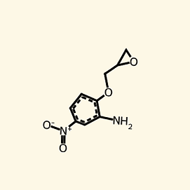 Nc1cc([N+](=O)[O-])ccc1OCC1CO1